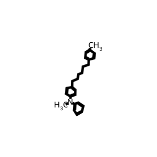 Cc1ccc(CCCCCCc2ccc(N(C)c3ccccc3)cc2)cc1